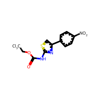 O=C(Nc1nc(-c2ccc([N+](=O)[O-])cc2)cs1)OCC(Cl)(Cl)Cl